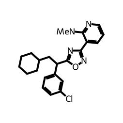 CNc1ncccc1-c1noc(C(CC2CCCCC2)c2cccc(Cl)c2)n1